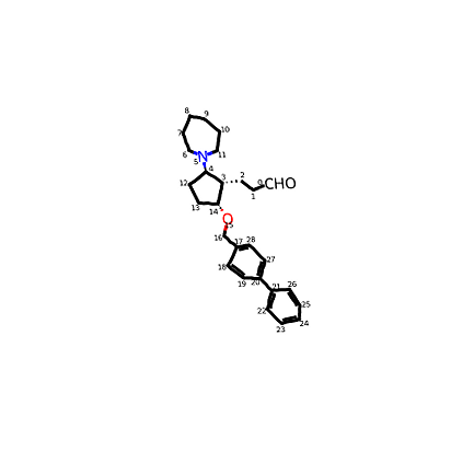 O=CCC[C@H]1[C@H](N2CCCCCC2)CC[C@H]1OCc1ccc(-c2ccccc2)cc1